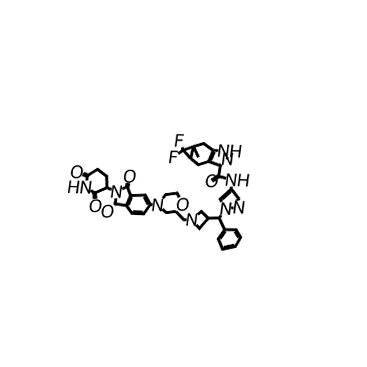 CC12Cc3[nH]nc(C(=O)Nc4cnn(C(c5ccccc5)C5CN(CC6CN(c7ccc8c(c7)C(=O)N(C7CCC(=O)NC7=O)C8=O)CCO6)C5)c4)c3CC1C2(F)F